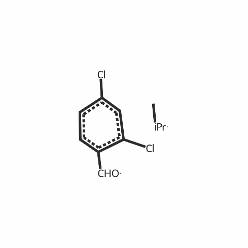 C[C](C)C.O=[C]c1ccc(Cl)cc1Cl